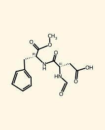 COC(=O)[C@@H](Cc1ccccc1)NC(=O)[C@H](CC(=O)O)NC=O